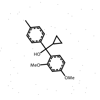 COc1ccc(C(O)(c2ccc(C)cc2)C2CC2)c(OC)c1